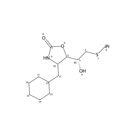 CC(C)SC[C@H](O)C1OC(=O)NC1CC1CCCCC1